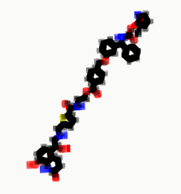 O=C(NC(c1ccccc1)c1cccc(OCc2ccc(C(=O)OCCNC(=O)c3ccc(CNC[C@@H](O)c4ccc(O)c5[nH]c(=O)ccc45)s3)cc2)c1)O[C@H]1CN2CCC1CC2